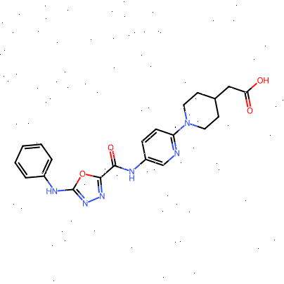 O=C(O)CC1CCN(c2ccc(NC(=O)c3nnc(Nc4ccccc4)o3)cn2)CC1